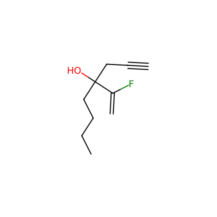 C#CCC(O)(CCCC)C(=C)F